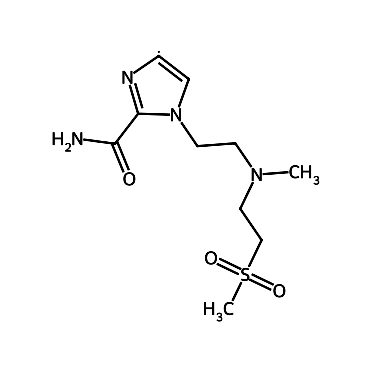 CN(CCn1c[c]nc1C(N)=O)CCS(C)(=O)=O